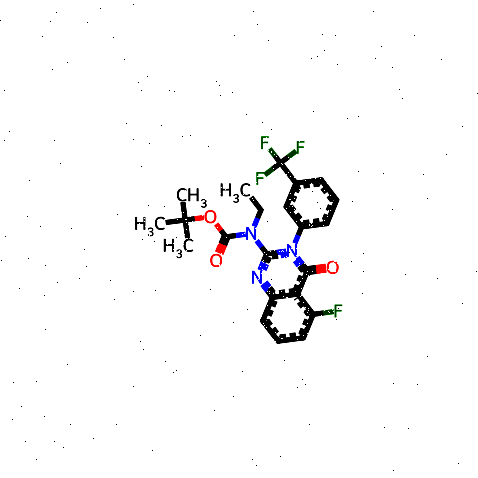 CCN(C(=O)OC(C)(C)C)c1nc2cccc(F)c2c(=O)n1-c1cccc(C(F)(F)F)c1